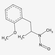 COc1ccccc1CC(C)N(C)N=O